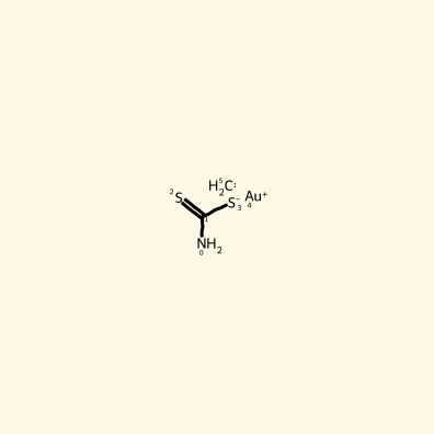 NC(=S)[S-].[Au+].[CH2]